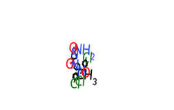 CN(C(=O)c1ccc(Cl)cc1)[C@@H]1CCN(C(=O)C2CCN(C(N)=O)CC2)C[C@H]1c1ccc(Cl)c(Cl)c1